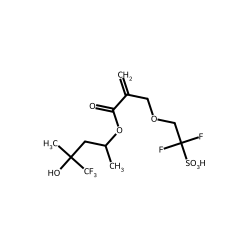 C=C(COCC(F)(F)S(=O)(=O)O)C(=O)OC(C)CC(C)(O)C(F)(F)F